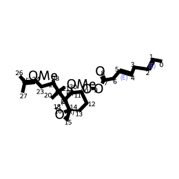 C/C=C/C/C=C/CC(=O)OOC1CC[C@]2(CO2)[C@@](C)(C(C)(C)C(CC=C(C)C)OC)[C@@H]1OC